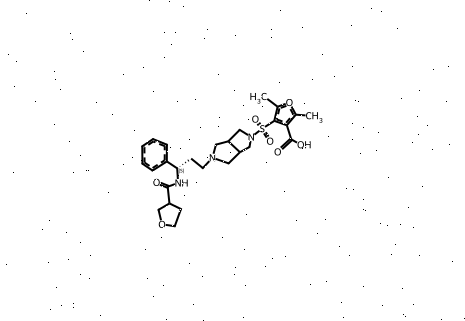 Cc1oc(C)c(S(=O)(=O)N2CC3CN(CC[C@H](NC(=O)C4CCOC4)c4ccccc4)CC3C2)c1C(=O)O